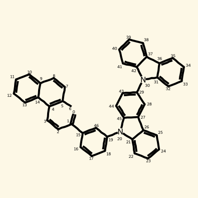 C=C(/C=C\c1c(C)ccc2ccccc12)c1cccc(-n2c3ccccc3c3cc(-n4c5ccccc5c5ccccc54)ccc32)c1